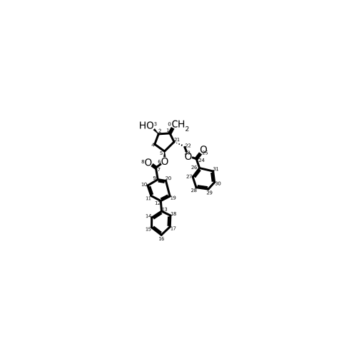 C=C1[C@H](O)C[C@H](OC(=O)c2ccc(-c3ccccc3)cc2)[C@H]1COC(=O)c1ccccc1